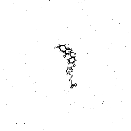 CC(=O)OC[C@@H]1CCC[C@H](Oc2ccc(-n3c(C)nc4ccc(F)cc4c3=O)cc2)O1